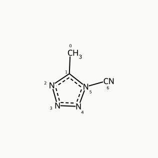 Cc1nnnn1C#N